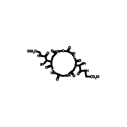 CCOC(=O)CNC(=O)C(C(C)C)N1CC(=O)NCC(=O)NCC(=O)N(C(C(=O)NCC(=O)OCC)C(C)C)CC(=O)NCC(=O)NCC1=O